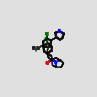 O=C(C=Cc1cc(-c2cccnc2)c(Cl)cc1[N+](=O)[O-])N1C2CCC1CN(Cc1ccc(F)cc1)C2